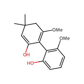 COC1=C(c2c(O)cccc2OC)C(O)=CC(C)(C)C1